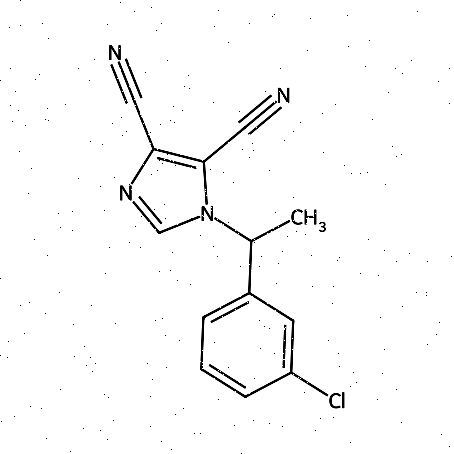 CC(c1cccc(Cl)c1)n1cnc(C#N)c1C#N